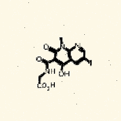 Cn1c(=O)c(C(=O)NCC(=O)O)c(O)c2cc(I)cnc21